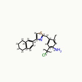 Cc1cc(N)c(C(C)(C)Cl)cc1Cc1nc(-c2ccc3c(c2)CCCC3)cs1